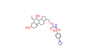 CC[C@@H]1C2C[C@H](O)CCC2(C)C2CC[C@@]3(C)C(CCC3[C@H](C)COC(=O)NS(=O)(=O)c3ccc(N4CCC4)cc3)C2[C@@H]1O